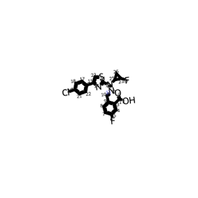 O=C(O)c1cc(F)ccc1/C=N/N(c1nc(-c2ccc(Cl)cc2)cs1)C1CC1F